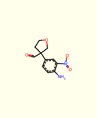 Nc1ccc(C2(C=O)CCOC2)cc1[N+](=O)[O-]